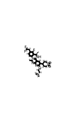 Cc1nc(N[C@H](C)c2cccc(CC(F)F)c2F)c2cc(C3CCS(=O)(=O)CC3)c(OCCN(C)C)nc2n1